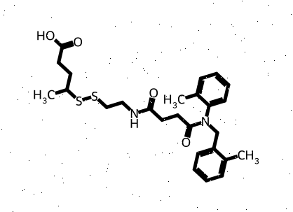 Cc1ccccc1CN(C(=O)CCC(=O)NCCSSC(C)CCC(=O)O)c1ccccc1C